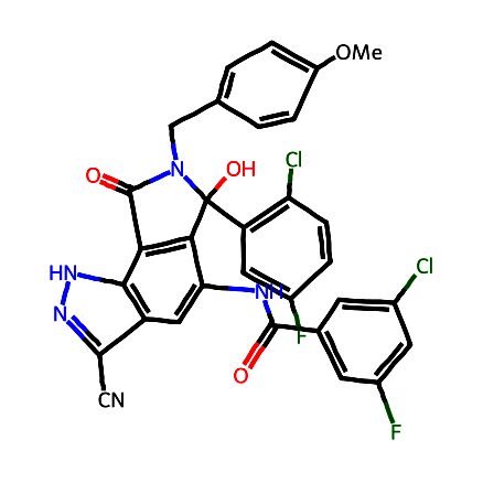 COc1ccc(CN2C(=O)c3c(c(NC(=O)c4cc(F)cc(Cl)c4)cc4c(C#N)n[nH]c34)C2(O)c2cc(F)ccc2Cl)cc1